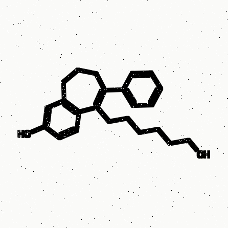 OCCCCCCC1=C(c2ccccc2)CCCc2cc(O)ccc21